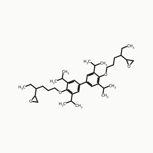 CCC(CCCOc1c(C(C)C)cc(-c2cc(C(C)C)c(OCCCC(CC)C3CO3)c(C(C)C)c2)cc1C(C)C)C1CO1